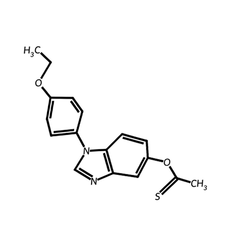 CCOc1ccc(-n2cnc3cc(OC(C)=S)ccc32)cc1